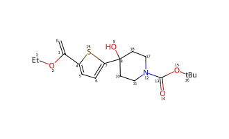 C=C(OCC)c1ccc(C2(O)CCN(C(=O)OC(C)(C)C)CC2)s1